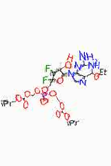 CCOC1NC(N)=Nc2c1ncn2[C@@H]1O[C@](F)(COP(=O)(OCOC(=O)OC(C)C)OCOC(=O)OC(C)C)[C@@H](F)[C@@]1(C)O